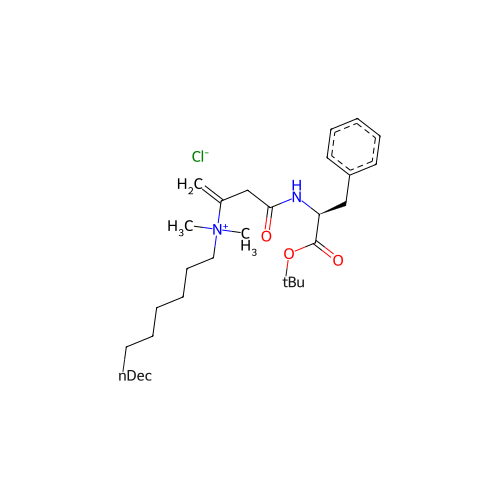 C=C(CC(=O)N[C@@H](Cc1ccccc1)C(=O)OC(C)(C)C)[N+](C)(C)CCCCCCCCCCCCCCCC.[Cl-]